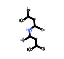 CC(C#N)CC(C)NC(C)CC(C)C#N